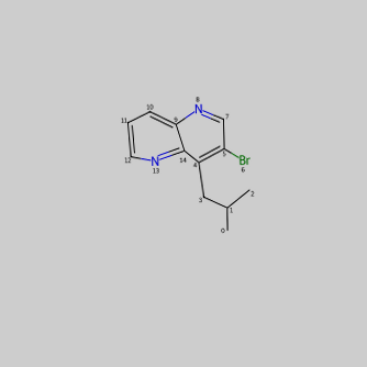 CC(C)Cc1c(Br)cnc2cccnc12